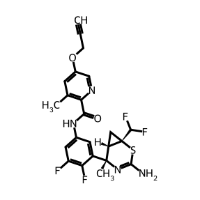 C#CCOc1cnc(C(=O)Nc2cc(F)c(F)c([C@@]3(C)N=C(N)S[C@@]4(C(F)F)C[C@@H]34)c2)c(C)c1